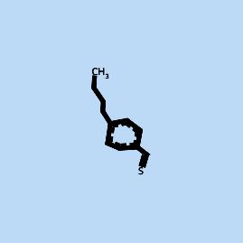 CCCCc1ccc([C]=S)cc1